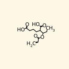 C=CC(=O)OC(CC)C(CCCC(=O)O)C(=O)O